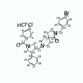 Cl.O=C(c1ccc(Cl)cc1)N1CC(CN2CCC3(CC2)CCN(Cc2ccc(Br)cc2)C3=O)C(c2ccccc2)C1